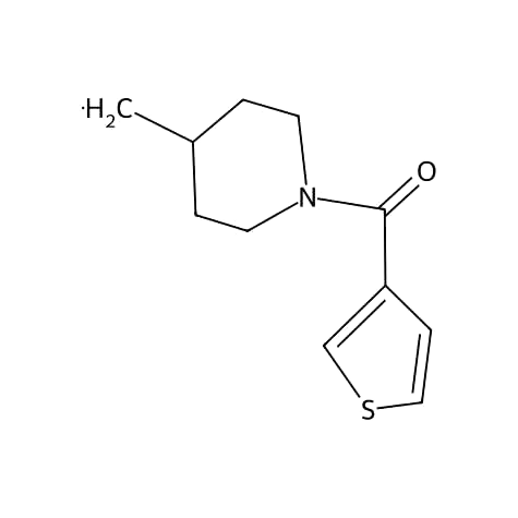 [CH2]C1CCN(C(=O)c2ccsc2)CC1